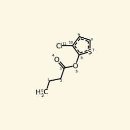 CCCC(=O)Oc1sccc1Cl